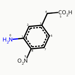 Nc1cc(CC(=O)O)ccc1[N+](=O)[O-]